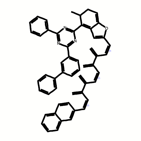 C=C(/C=C\C(=C)C(=C)/C=C\c1cc2c(o1)=CCC(C)C=2c1nc(-c2ccccc2)nc(-c2cccc(-c3ccccc3)c2)n1)C(=C)/C=C\c1ccc2ccccc2c1